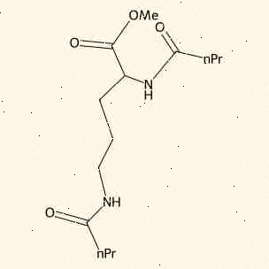 CCCC(=O)NCCCC(NC(=O)CCC)C(=O)OC